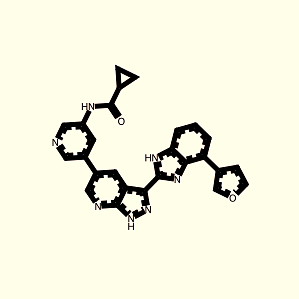 O=C(Nc1cncc(-c2cnc3[nH]nc(-c4nc5c(-c6ccoc6)cccc5[nH]4)c3c2)c1)C1CC1